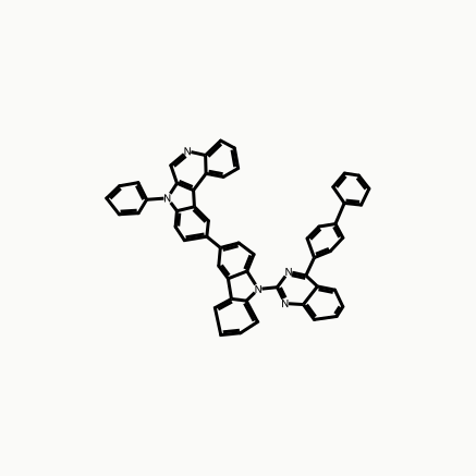 c1ccc(-c2ccc(-c3nc(-n4c5ccccc5c5cc(-c6ccc7c(c6)c6c8ccccc8ncc6n7-c6ccccc6)ccc54)nc4ccccc34)cc2)cc1